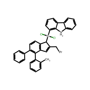 Cc1ccccc1-c1c(-c2ccccc2)ccc2c1C=C(CC(C)C)[CH]2[Zr]([Cl])([Cl])[c]1cccc2c1[SiH2]c1ccccc1-2